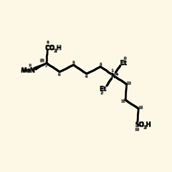 CC[N+](CC)(CCCC[C@@H](NC)C(=O)O)CCCS(=O)(=O)O